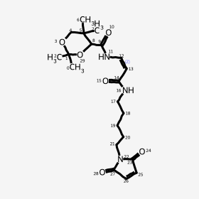 CC1(C)OCC(C)(C)C(C(=O)N/C=C\C(=O)NCCCCCN2C(=O)C=CC2=O)O1